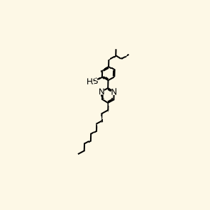 CCCCCCCCCCc1cnc(-c2ccc(CC(C)CC)cc2S)nc1